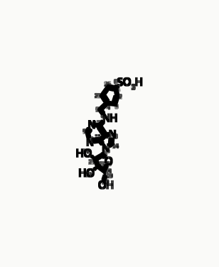 O=S(=O)(O)c1ccc(CNc2ncnc3c2ncn3[C@@H]2O[C@H](CO)[C@@H](O)[C@H]2O)cc1